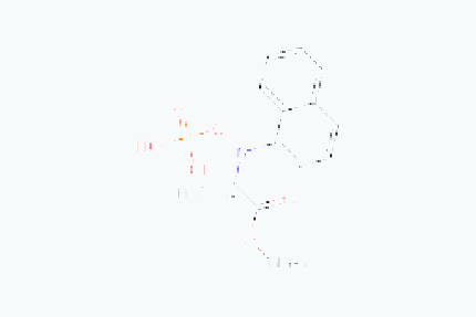 CCCCCOC(=O)[C@H](C)N(OP(=O)(O)O)c1cccc2ccccc12